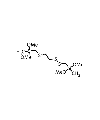 CO[Si](C)(CSSCSSC[Si](C)(OC)OC)OC